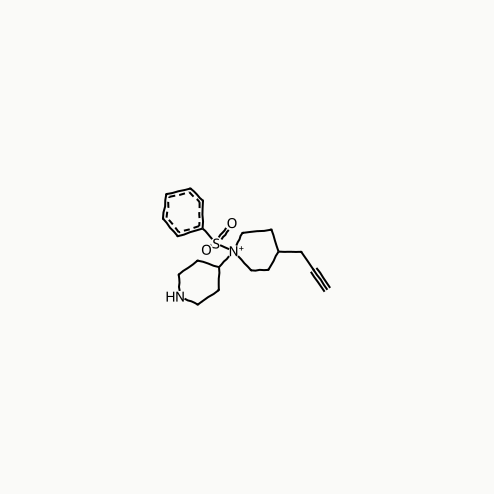 C#CCC1CC[N+](C2CCNCC2)(S(=O)(=O)c2ccccc2)CC1